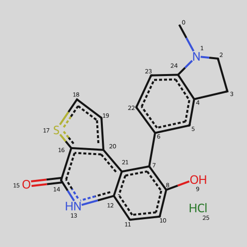 CN1CCc2cc(-c3c(O)ccc4[nH]c(=O)c5sccc5c34)ccc21.Cl